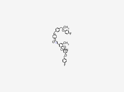 Cc1cc(/C=C/C(=O)N2CCN(Cc3ccc(CC(C)Oc4ccc(F)cc4)cc3)CC2)cc(C)c1Oc1ccc(OCc2ccc(F)cc2)cn1